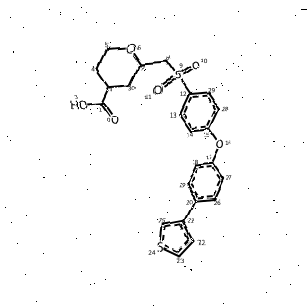 O=C(O)C1CCOC(CS(=O)(=O)c2ccc(Oc3ccc(-c4ccsc4)cc3)cc2)C1